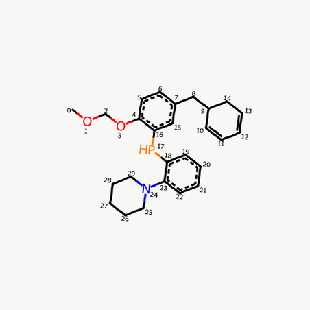 COCOc1ccc(CC2C=CC=CC2)cc1Pc1ccccc1N1CCCCC1